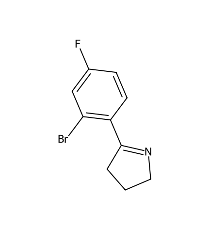 Fc1ccc(C2=NCCC2)c(Br)c1